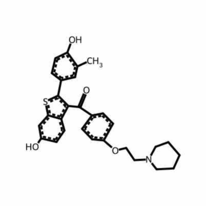 Cc1cc(-c2sc3cc(O)ccc3c2C(=O)c2ccc(OCCN3CCCCC3)cc2)ccc1O